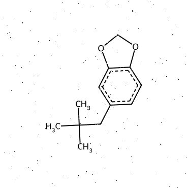 CC(C)(C)Cc1ccc2c(c1)OCO2